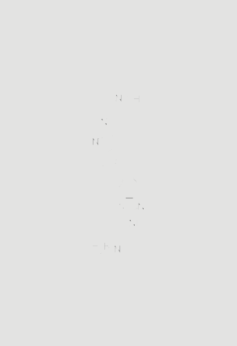 BN1CCC[C@H]1CNc1nc2ccc(-c3ccc4nc(NC[C@@H]5CCCN5C)sc4c3)cc2s1